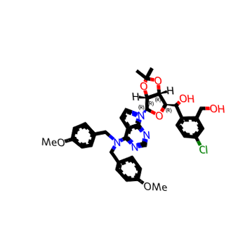 COc1ccc(CN(Cc2ccc(OC)cc2)c2ncnc3c2ccn3[C@@H]2O[C@H](C(O)c3ccc(Cl)cc3CO)[C@H]3OC(C)(C)O[C@H]32)cc1